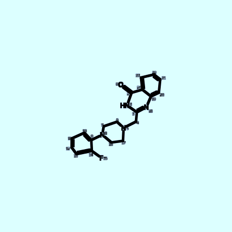 O=c1[nH]c(CN2CCN(c3ccccc3F)CC2)nc2ccccc12